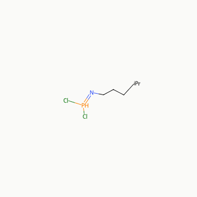 CC(C)CCCN=[PH](Cl)Cl